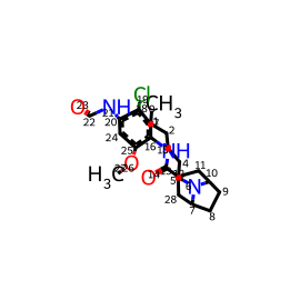 CCCCCCN1C2CCC1CC(C(=O)Nc1cc(Cl)c(NC=O)cc1OC)C2